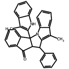 Cc1c(C23c4ccccc4C(=O)C2C(c2ccccc2)c2c(C)c4ccccc4n23)[nH]c2ccccc12